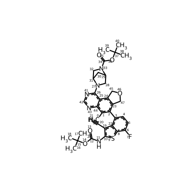 Cc1c(-c2ccc(F)c3sc(NC(=O)OC(C)(C)C)c(C#N)c23)c2c(c3c(N4CC5CC4CN5C(=O)OC(C)(C)C)ncnc13)COC2